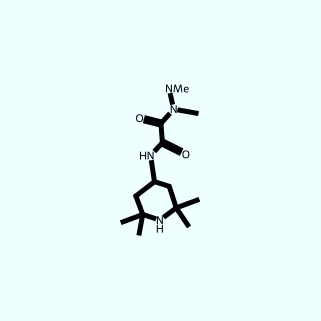 CNN(C)C(=O)C(=O)NC1CC(C)(C)NC(C)(C)C1